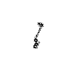 CC(C)(C)CC1(C)CC1(C)C(=O)OCCSCCSCCOc1ccc(-c2cc3cccnc3oc2=O)cc1